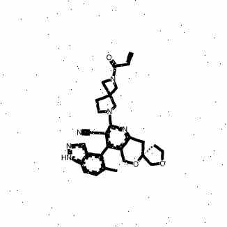 C=CC(=O)N1CC2(CCN(c3nc4c(c(-c5c(C)ccc6[nH]ncc56)c3C#N)CO[C@@]3(CCOC3)C4)C2)C1